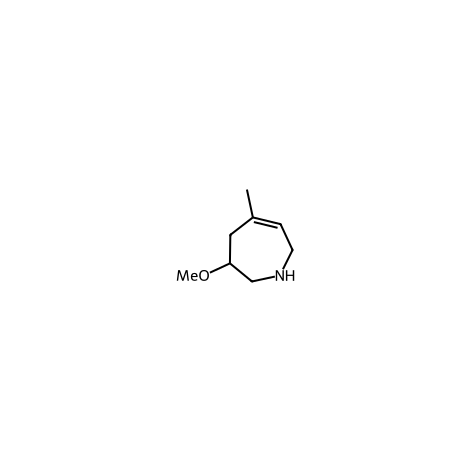 COC1CNCC=C(C)C1